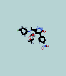 CC(c1cc(-c2ccc([N+](=O)[O-])cc2)c(=O)[nH]n1)N(C(=O)OC(C)(C)C)c1ccc(F)cc1